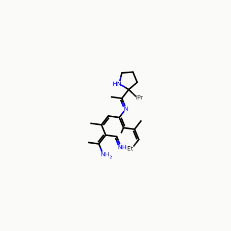 CC\C=C(C)/C(C)=C(/C=C(C)\C(C=N)=C(/C)N)\N=C(/C)C1(C(C)C)CCCN1